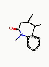 CC1CC(=O)N(C)c2ccccc2C1C